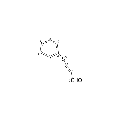 O=CC=CSc1ccccc1